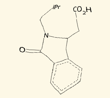 CC(C)CN1C(=O)c2ccccc2C1CC(=O)O